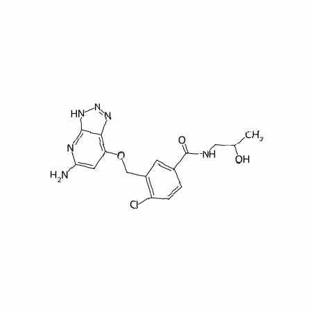 CC(O)CNC(=O)c1ccc(Cl)c(COc2cc(N)nc3[nH]nnc23)c1